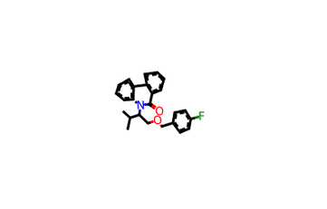 CC(C)C(COCc1ccc(F)cc1)N(C)C(=O)c1ccccc1-c1ccccc1